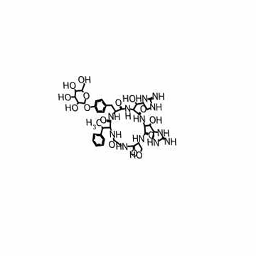 CC(c1ccccc1)C1NC(=O)CNC(=O)C(CO)NC(=O)C(C(O)C2CNC(=N)N2)NC(=O)C(C(O)C2CNC(=N)N2)NC(=O)C(Cc2ccc(OC3OC(CO)C(O)C(O)C3O)cc2)NC1=O